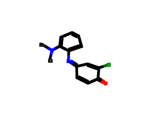 CCN(CC)c1ccccc1N=C1C=CC(=O)C(Cl)=C1